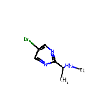 CCNC(C)c1ncc(Br)cn1